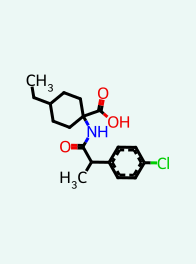 CCC1CCC(NC(=O)C(C)c2ccc(Cl)cc2)(C(=O)O)CC1